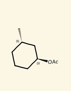 CC(=O)O[C@H]1CCC[C@H](C)C1